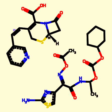 CC(=O)ON=C(C(=O)NC(C)OC(=O)OC1CCCCC1)c1csc(N)n1.O=C(O)C1=C(/C=C\c2cccnc2)CS[C@H]2CC(=O)N12